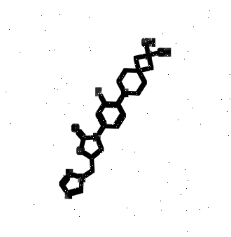 O=C1OC(Cn2cncn2)CN1c1ccc(N2CCC3(CC2)CS(O)(O)C3)c(F)c1